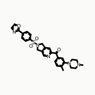 Cc1ccc(C(=O)c2cc3c(cn2)CN(S(=O)(=O)c2ccc(-c4ncco4)cc2)C3)cc1N1CCN(C)CC1